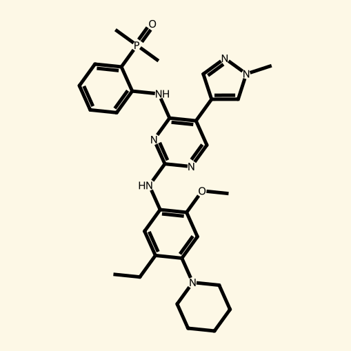 CCc1cc(Nc2ncc(-c3cnn(C)c3)c(Nc3ccccc3P(C)(C)=O)n2)c(OC)cc1N1CCCCC1